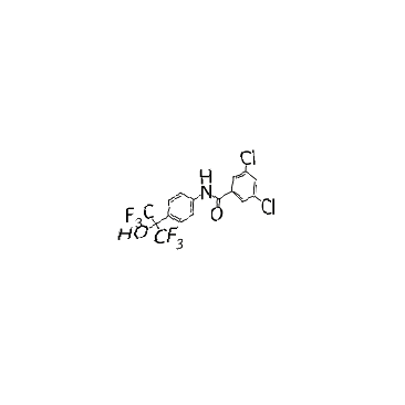 O=C(Nc1ccc(C(O)(C(F)(F)F)C(F)(F)F)cc1)c1cc(Cl)cc(Cl)c1